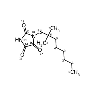 CCCCCCC(C)(C)SN1C(=O)NC(=O)C1=O